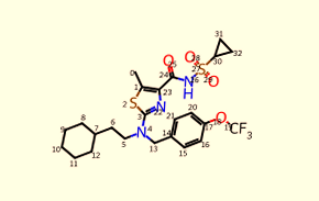 Cc1sc(N(CCC2CCCCC2)Cc2ccc(OC(F)(F)F)cc2)nc1C(=O)NS(=O)(=O)C1CC1